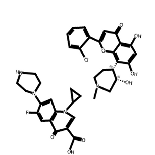 CN1CC[C@H](c2c(O)cc(O)c3c(=O)cc(-c4ccccc4Cl)oc23)[C@H](O)C1.O=C(O)c1cn(C2CC2)c2cc(N3CCNCC3)c(F)cc2c1=O